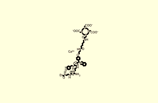 CCC(=O)NCCNC(=O)/N=C(/N)NCCC[C@@H](NC(=O)[C@H](c1ccc(OCCCNC(=O)CCCCCNC(=O)CN2CCN(CC(=O)[O-])CCN(CC(=O)[O-])CCN(CC(=O)[O-])CC2)cc1)N1Cc2ccccc2C1)C(=O)NCc1ccc(O)cc1.[Ga+3]